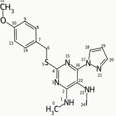 CNc1nc(SCc2ccc(OC)cc2)nc(-n2cccn2)c1NI